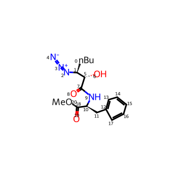 CCCC[C@H](N=[N+]=[N-])[C@H](O)C(=O)N[C@@H](Cc1ccccc1)C(=O)OC